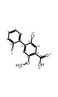 COc1cc(-c2ccccc2F)c(Cl)cc1C(=O)O